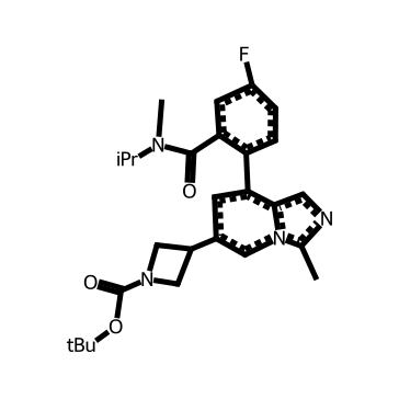 Cc1ncc2c(-c3ccc(F)cc3C(=O)N(C)C(C)C)cc(C3CN(C(=O)OC(C)(C)C)C3)cn12